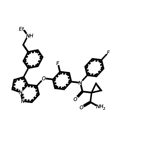 CCNCc1cccc(-c2ccn3nccc(Oc4ccc(N(C(=O)C5(C(N)=O)CC5)c5ccc(F)cc5)cc4F)c23)c1